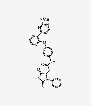 CNc1nccc(-c2cccnc2Oc2ccc(NC(=O)CC3C(=O)NC(=S)N3c3ccccc3)cc2)n1